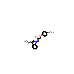 CCCCCCCCc1ccc(OCC(=O)Cn2cc(C(=O)O)c3ccccc32)cc1